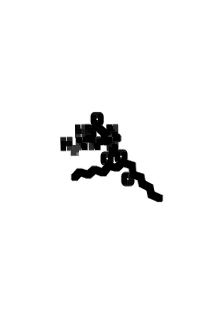 CCCCCC(=O)CC(CC(=O)CCCCC)OCn1cnc2c(=O)[nH]c(N)nc21